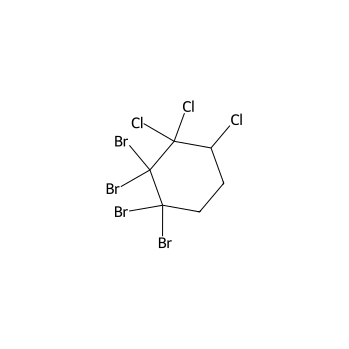 ClC1CCC(Br)(Br)C(Br)(Br)C1(Cl)Cl